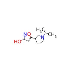 CC(C)N1CCC[C@@H](c2cc(O)no2)C1